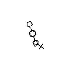 CC(C)(C)c1nc(-c2ccc(N3CCCC3)cc2)cs1